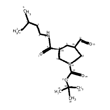 CC(C)CCNC(=O)[C@H]1CC(C=O)CN(C(=O)OC(C)(C)C)C1